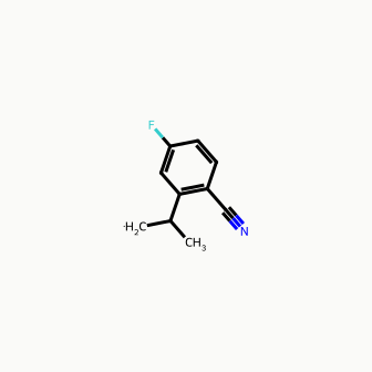 [CH2]C(C)c1cc(F)ccc1C#N